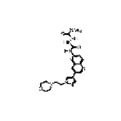 CNC(=S)NNC(=O)Nc1ccc2ncc(-c3cnn(CCN4CCOCC4)c3)cc2n1